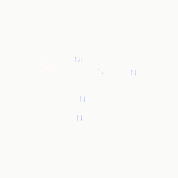 Cc1cncnc1-n1nccc1C(N)=O